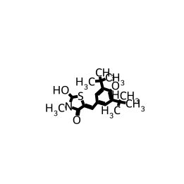 CN1C(=O)C(=Cc2cc(C(C)(C)C)c(O)c(C(C)(C)C)c2)SC1O